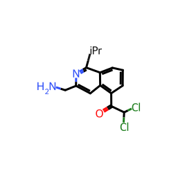 CC(C)c1nc(CN)cc2c(C(=O)C(Cl)Cl)cccc12